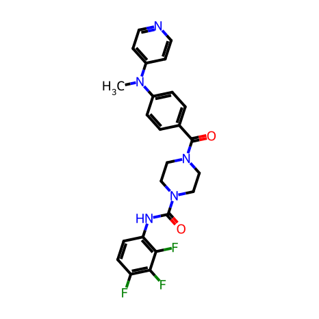 CN(c1ccncc1)c1ccc(C(=O)N2CCN(C(=O)Nc3ccc(F)c(F)c3F)CC2)cc1